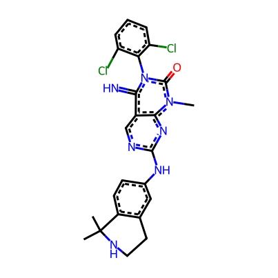 Cn1c(=O)n(-c2c(Cl)cccc2Cl)c(=N)c2cnc(Nc3ccc4c(c3)CCNC4(C)C)nc21